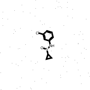 [O-][S+](Nc1cccc(Cl)c1)C1CC1